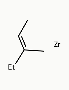 CC=C(C)CC.[Zr]